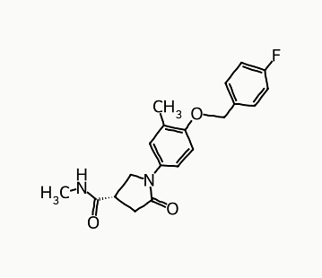 CNC(=O)[C@H]1CC(=O)N(c2ccc(OCc3ccc(F)cc3)c(C)c2)C1